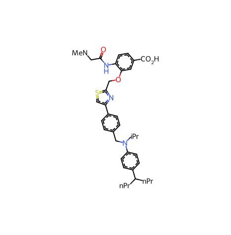 CCCC(CCC)c1ccc(N(Cc2ccc(-c3csc(COc4cc(C(=O)O)ccc4NC(=O)CNC)n3)cc2)C(C)C)cc1